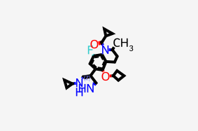 CC1CCc2c(OC3CCC3)c(/C(C=N)=C/NC3CC3)cc(F)c2N1C(=O)C1CC1